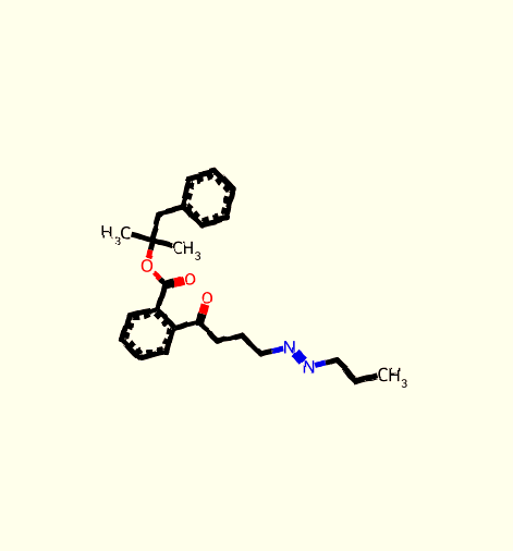 CCCN=NCCCC(=O)c1ccccc1C(=O)OC(C)(C)Cc1ccccc1